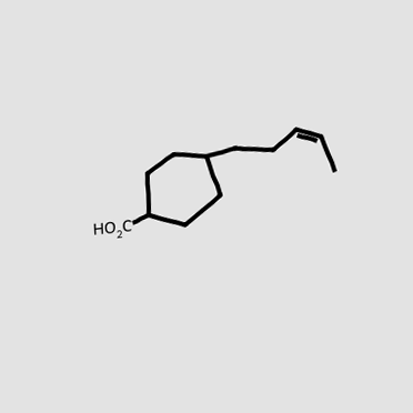 C/C=C\CCC1CCC(C(=O)O)CC1